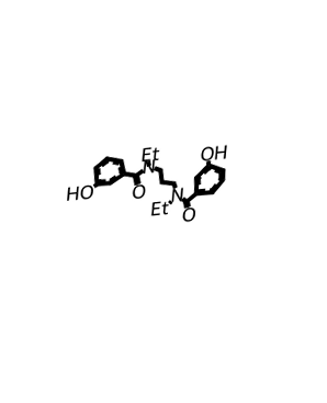 CCN(CCCN(CC)C(=O)c1cccc(O)c1)C(=O)c1cccc(O)c1